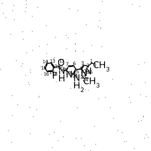 CCc1cc(-c2ccc(NC(=O)c3ccccc3F)nc2N)n(CC)n1